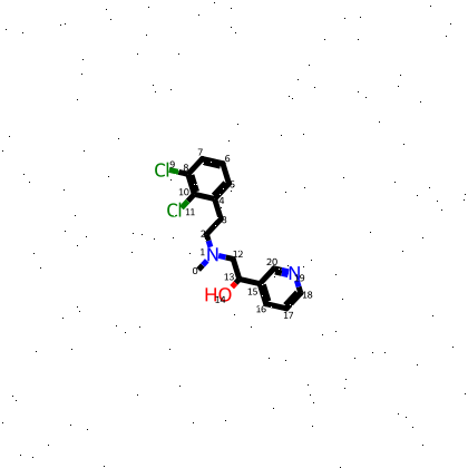 CN(CCc1cccc(Cl)c1Cl)CC(O)c1cccnc1